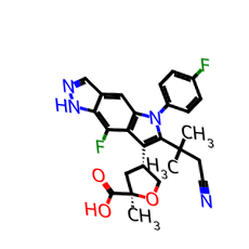 CC(C)(CC#N)c1c([C@@H]2CO[C@@](C)(C(=O)O)C2)c2c(F)c3[nH]ncc3cc2n1-c1ccc(F)cc1